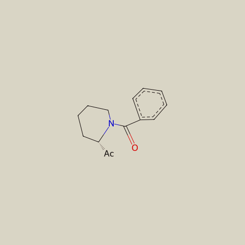 CC(=O)[C@@H]1CCCCN1C(=O)c1ccccc1